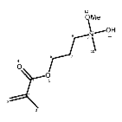 C=C(C)C(=O)OCCC[Si](C)(O)OC